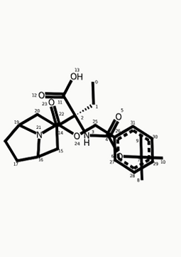 CC[C@@](NC(=O)OC(C)(C)C)(C(=O)O)C1CC2CCC(C1)N2C(=O)OCc1ccccc1